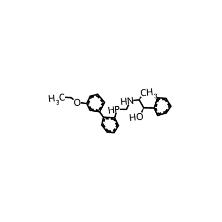 CCOc1cccc(-c2ccccc2PCN[C@@H](C)[C@H](O)c2ccccc2)c1